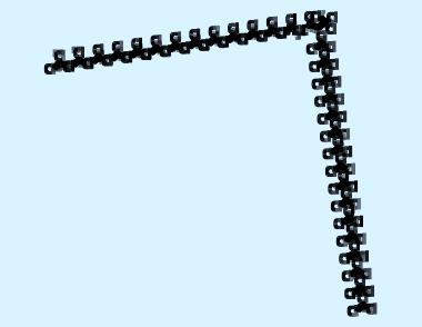 CC(=O)CC(Cl)(Cl)Cl.ClC(Cl)Cl.ClC(Cl)Cl.ClC(Cl)Cl.ClC(Cl)Cl.ClC(Cl)Cl.ClC(Cl)Cl.ClC(Cl)Cl.ClC(Cl)Cl.ClC(Cl)Cl.ClC(Cl)Cl.ClC(Cl)Cl.ClC(Cl)Cl.ClC(Cl)Cl.ClC(Cl)Cl.ClC(Cl)Cl.ClC(Cl)Cl.ClC(Cl)Cl.ClC(Cl)Cl.ClC(Cl)Cl.ClC(Cl)Cl.ClC(Cl)Cl.ClC(Cl)Cl.ClC(Cl)Cl.ClC(Cl)Cl.ClC(Cl)Cl.ClC(Cl)Cl.ClC(Cl)Cl.ClC(Cl)Cl.ClC(Cl)Cl